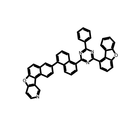 c1ccc(-c2nc(-c3cccc4c(-c5ccc6c(ccc7oc8ccncc8c76)c5)cccc34)nc(-c3cccc4oc5ccccc5c34)n2)cc1